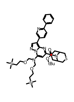 CC(C)(C)OC(=O)N1C2CSCC1CC(c1cc(N(COCC[Si](C)(C)C)COCC[Si](C)(C)C)n3ncc(-c4ccc(-c5ccccc5)nc4)c3n1)C2